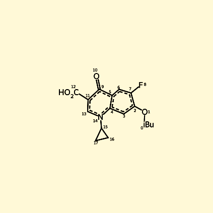 CCC(C)Oc1cc2c(cc1F)c(=O)c(C(=O)O)cn2C1CC1